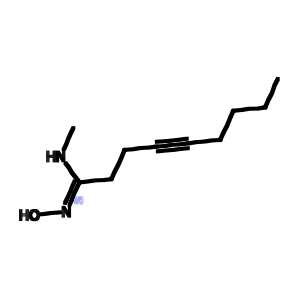 CCCCC#CCC/C(=N/O)NC